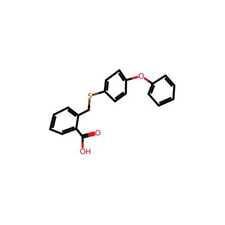 O=C(O)c1ccccc1CSc1ccc(Oc2ccccc2)cc1